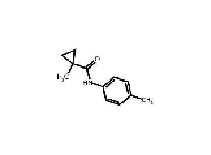 Cc1ccc(NC(=O)C2(C)CC2)cc1